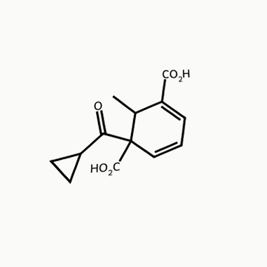 CC1C(C(=O)O)=CC=CC1(C(=O)O)C(=O)C1CC1